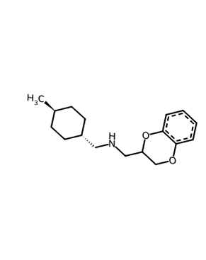 C[C@H]1CC[C@H](CNCC2COc3ccccc3O2)CC1